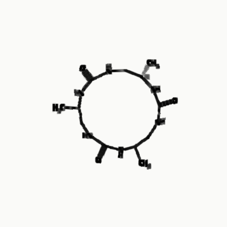 CC1CNC(=O)NC(C)CNC(=O)N[C@@H](C)CNC(=O)N1